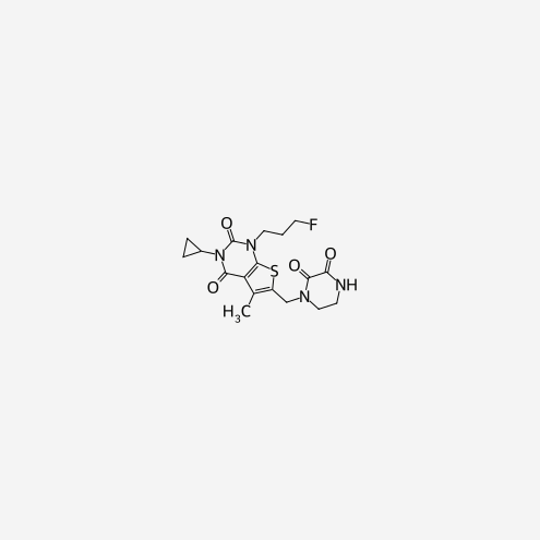 Cc1c(CN2CCNC(=O)C2=O)sc2c1c(=O)n(C1CC1)c(=O)n2CCCF